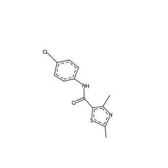 Cc1nc(C)c(C(=O)Nc2ccc(Cl)cc2)s1